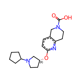 O=C(O)N1CCc2nc(O[C@@H]3CCN(C4CCCC4)C3)ccc2C1